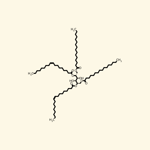 CCCCCCCC/C=C\CCCCCCCC(=O)O[C@H](COC(=O)CCCCCCCCCCCCCCC)[C@@H](O)[C@H](O)[C@@H](COC(=O)CCCCCCCCCCCCCCC)OC(=O)CCCCCCC/C=C\CCCCCCCC